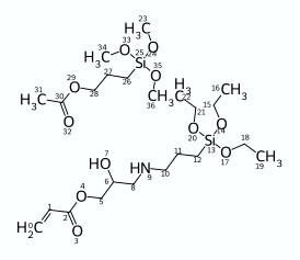 C=CC(=O)OCC(O)CNCCC[Si](OCC)(OCC)OCC.CO[Si](CCCOC(C)=O)(OC)OC